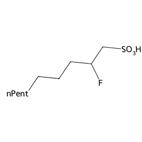 CCCCCCCCC(F)CS(=O)(=O)O